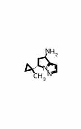 CC1([C@@H]2C[C@@H](N)c3ccnn32)CC1